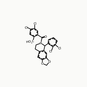 O=C(O)c1cc(Cl)c(Cl)cc1C(=O)N1CCc2cc3c(cc2C1c1cccc(Cl)c1Cl)OCO3